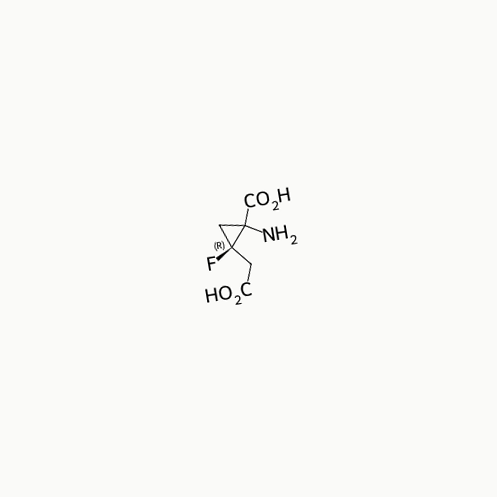 NC1(C(=O)O)C[C@@]1(F)CC(=O)O